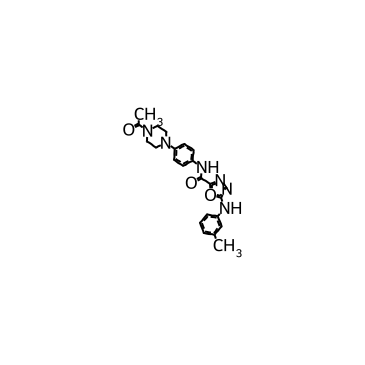 CC(=O)N1CCN(c2ccc(NC(=O)c3nnc(Nc4cccc(C)c4)o3)cc2)CC1